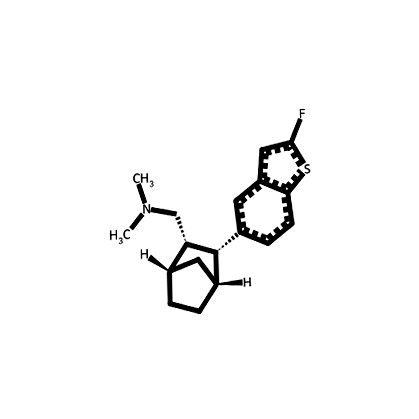 CN(C)C[C@H]1[C@H]2CC[C@H](C2)[C@H]1c1ccc2sc(F)cc2c1